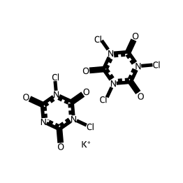 O=c1[n-]c(=O)n(Cl)c(=O)n1Cl.O=c1n(Cl)c(=O)n(Cl)c(=O)n1Cl.[K+]